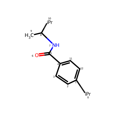 CC(C)c1ccc(C(=O)NC(C)C(C)C)cc1